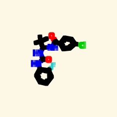 CC(C)(C)C(NC(=O)Nc1ccccc1F)NC(=O)c1ccc(Cl)cc1